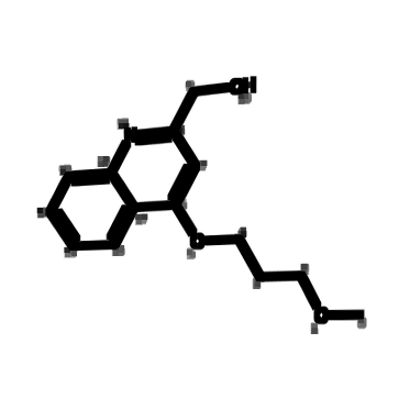 COCCCOc1cc(CO)nc2ccccc12